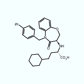 CC(C)c1ccc(CN2C(=O)[C@H](N[C@@H](CCC3CCCCC3)C(=O)O)COc3ccccc32)cc1